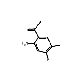 C=C(C)c1cc(C)c(F)cc1N